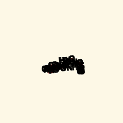 CC[C@@]1(OC(=O)OCc2ccc(NC(=O)[C@H](CCCCN)NC(=O)COCC(=O)NC(C)(C)CCOC(C)(C)CCn3cc(CNC(=O)c4csc(-c5cnc(S(C)(=O)=O)nc5)n4)nn3)cc2)C(=O)OCc2c1cc1n(c2=O)Cc2c-1nc1ccccc1c2CCN(C(C)C)S(C)(=O)=O